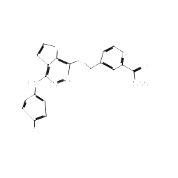 CNC(=O)c1cc(COc2nnc(Nc3ccc(Cl)cc3)c3ccoc23)ccn1